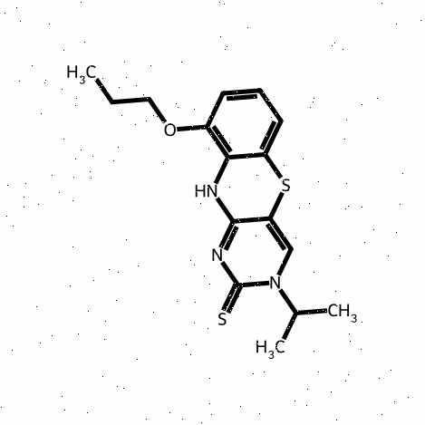 CCCOc1cccc2c1Nc1nc(=S)n(C(C)C)cc1S2